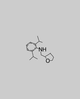 CC(C)c1cccc(C(C)C)c1NCC1CCCO1